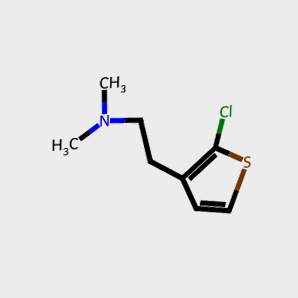 CN(C)CCc1ccsc1Cl